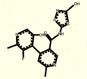 COc1cnc(C)c(F)c1-c1cc(C)ncc1C(=O)Nc1nnc(O)s1